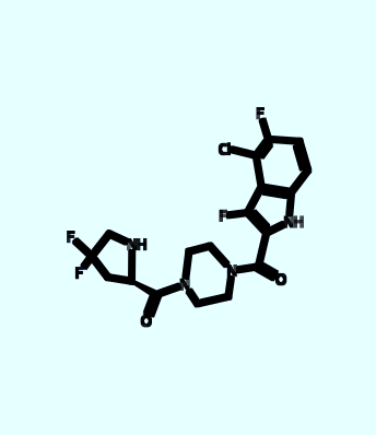 O=C(c1[nH]c2ccc(F)c(Cl)c2c1F)N1CCN(C(=O)[C@H]2CC(F)(F)CN2)CC1